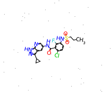 CCCS(=O)(=O)Nc1ccc(Cl)c(C(=O)Nc2cnc3[nH]nc(C4CC4)c3c2)c1F